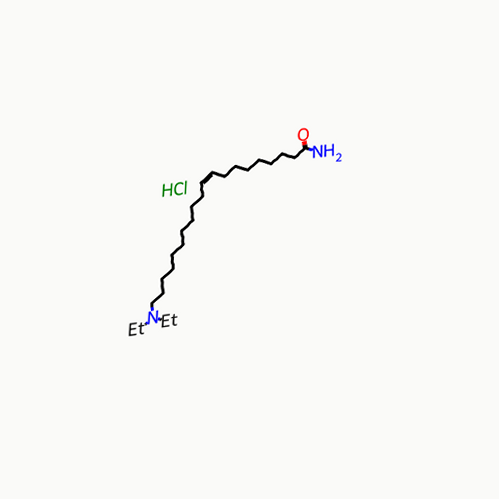 CCN(CC)CCCCCCCCCC/C=C\CCCCCCCC(N)=O.Cl